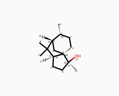 C[C@@H]1CC[C@@]23C[C@@H]1C(C)(C)[C@@H]2CC[C@]3(C)O